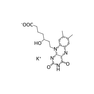 Cc1cc2nc3c(=O)[nH]c(=O)nc-3n(CCC(O)CCCC(=O)[O-])c2cc1C.[K+]